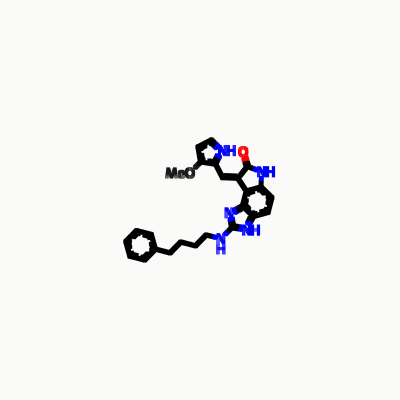 COc1cc[nH]c1/C=C1\C(=O)Nc2ccc3[nH]c(NCCCCc4ccccc4)nc3c21